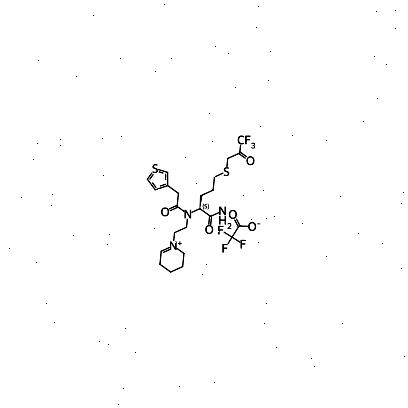 NC(=O)[C@H](CCCSCC(=O)C(F)(F)F)N(CC[N+]1=CCCCC1)C(=O)Cc1ccsc1.O=C([O-])C(F)(F)F